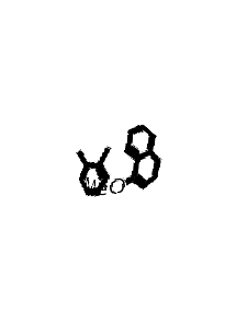 COc1cccc2ccccc12.Cc1ccccc1C